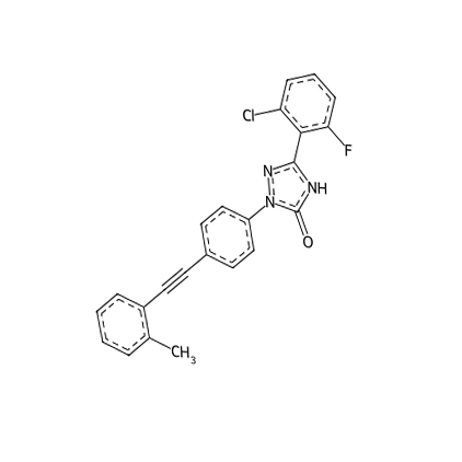 Cc1ccccc1C#Cc1ccc(-n2nc(-c3c(F)cccc3Cl)[nH]c2=O)cc1